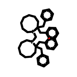 c1ccc(CC2(Cc3ccccc3)CCCCCCCP2CP2CCCCCCCC2(Cc2ccccc2)Cc2ccccc2)cc1